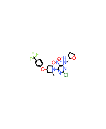 C[C@H]1C[C@@H](Oc2ccc(C(F)(F)F)cc2)CCN1c1nc(Cl)nc(NC[C@@H]2CCCO2)c1[N+](=O)[O-]